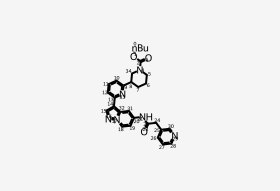 CCCCOC(=O)N1CCCC(c2cccc(-c3cnn4ccc(NC(=O)Cc5cccnc5)cc34)n2)C1